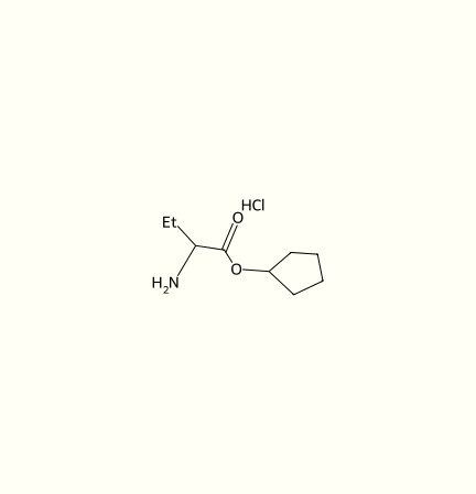 CCC(N)C(=O)OC1CCCC1.Cl